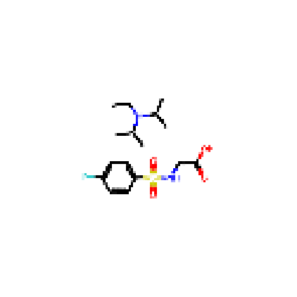 CCN(C(C)C)C(C)C.O=C(O)CNS(=O)(=O)c1ccc(F)cc1